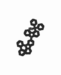 CC(C)(C)[Si](c1ccccc1)(c1ccccc1)c1cccc2c1c1ccccc1n2-c1ccc2c3ccccc3n(-c3ccccc3-c3ccccc3)c2c1